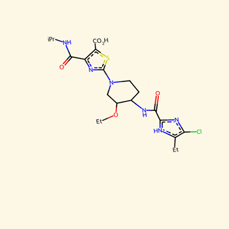 CCOC1CN(c2nc(C(=O)NC(C)C)c(C(=O)O)s2)CCC1NC(=O)c1nc(Cl)c(CC)[nH]1